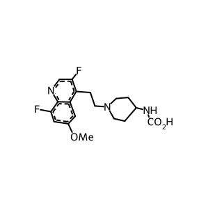 COc1cc(F)c2ncc(F)c(CCN3CCC(NC(=O)O)CC3)c2c1